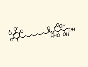 COC1=C(OC)C(=O)C(CCCCCCCCCC(=O)N[C@@H](C=O)[C@@H](O)[C@H](O)[C@H](O)CO)=C(C)C1=O